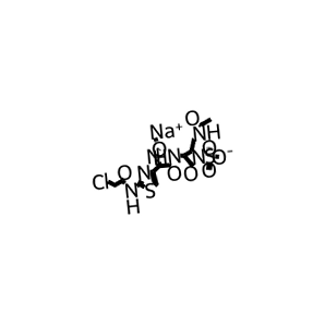 CON=C(C(=O)NC1C(=O)N(S(=O)(=O)[O-])C1CNC(C)=O)c1csc(NC(=O)CCl)n1.[Na+]